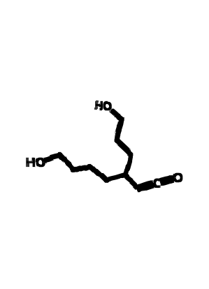 O=C=CC(CCCO)CCCCO